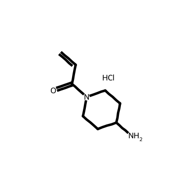 C=CC(=O)N1CCC(N)CC1.Cl